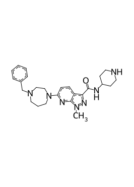 Cn1nc(C(=O)NC2CCNCC2)c2ccc(N3CCCN(Cc4ccccc4)CC3)nc21